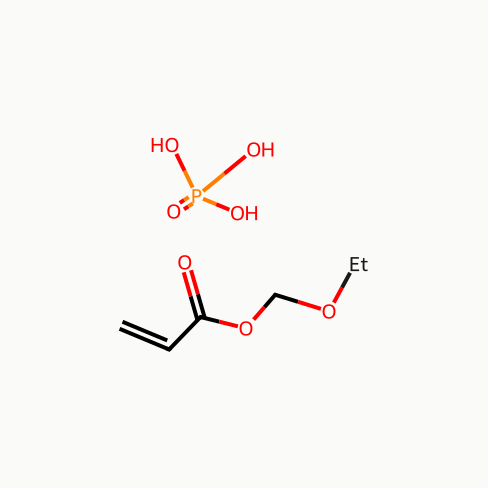 C=CC(=O)OCOCC.O=P(O)(O)O